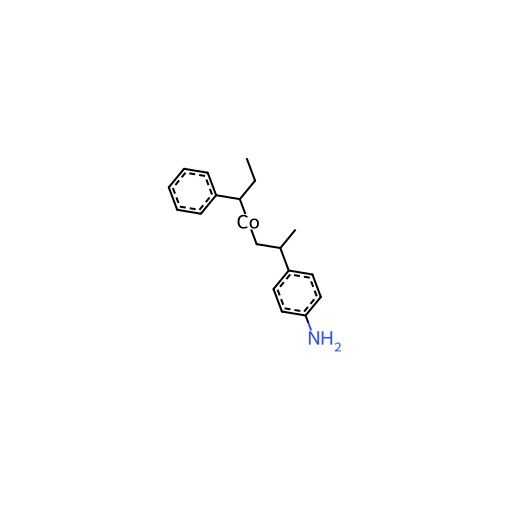 CC[CH]([Co][CH2]C(C)c1ccc(N)cc1)c1ccccc1